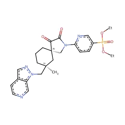 CCOP(=O)(OCC)c1ccc(N2C[C@]3(CCC[C@](C)(Cn4ncc5ccncc54)C3)C(=O)C2=O)nc1